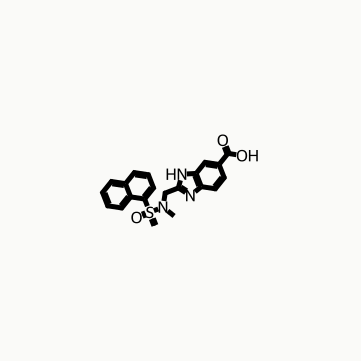 C=S(=O)(c1cccc2ccccc12)N(C)Cc1nc2ccc(C(=O)O)cc2[nH]1